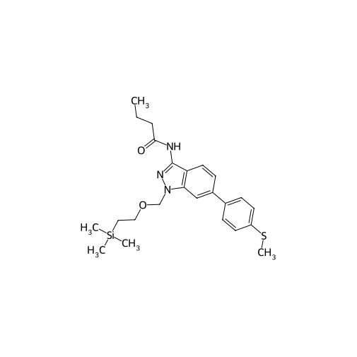 CCCC(=O)Nc1nn(COCC[Si](C)(C)C)c2cc(-c3ccc(SC)cc3)ccc12